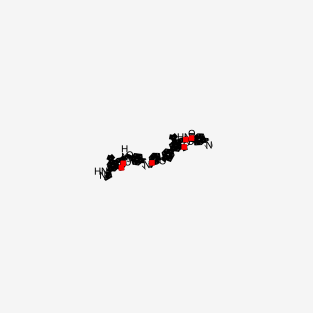 CC(C)c1cc(-c2ccc(Oc3cccc(CN(C)Cc4ccc(S(=O)(=O)NC(=O)Cc5c(C(C)C)cc(-c6ccn[nH]6)cc5C(C)C)cc4)c3)cc2)cc(C(C)C)c1CC(=O)NS(=O)(=O)c1ccc(CN(C)C)cc1